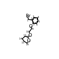 BrCc1ccccc1OCCOC1CCCCO1